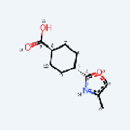 Cc1coc([C@H]2CC[C@H](C(=O)O)CC2)n1